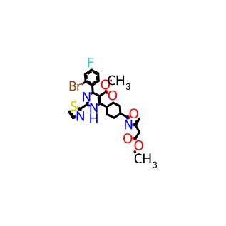 CCOC(=O)Cc1coc(C2CCC(C3=C(C(=O)OC)C(c4ccc(F)cc4Br)N=C(c4nccs4)N3)CC2)n1